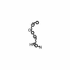 N#Cc1ccc2[nH]cc(CCCN3CCC(c4ccc(C(=O)CCC5CCN(Cc6ccccc6)CC5)cc4)CC3)c2c1